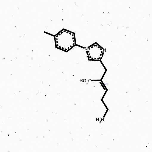 Cc1ccc(-n2cnc(C/C(=C/CCN)C(=O)O)c2)cc1